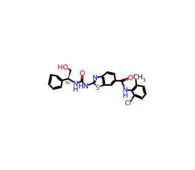 Cc1cccc(Cl)c1NC(=O)c1ccc2nc(NC(=O)N[C@H](CO)c3ccccc3)sc2c1